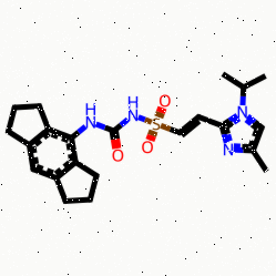 Cc1cn(C(C)C)c(/C=C/S(=O)(=O)NC(=O)Nc2c3c(cc4c2CCC4)CCC3)n1